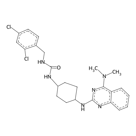 CN(C)c1nc(NC2CCC(NC(=O)NCc3ccc(Cl)cc3Cl)CC2)nc2ccccc12